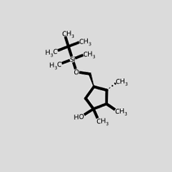 CC1[C@@H](C)[C@H](CO[Si](C)(C)C(C)(C)C)CC1(C)O